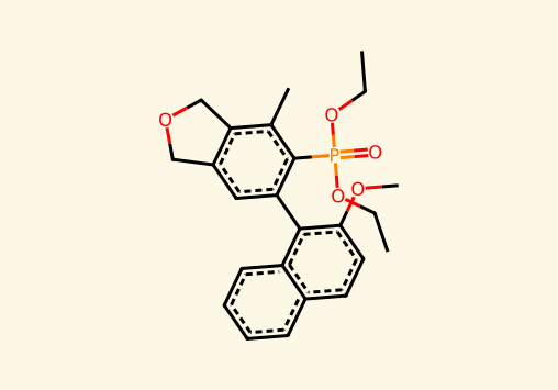 CCOP(=O)(OCC)c1c(-c2c(OC)ccc3ccccc23)cc2c(c1C)COC2